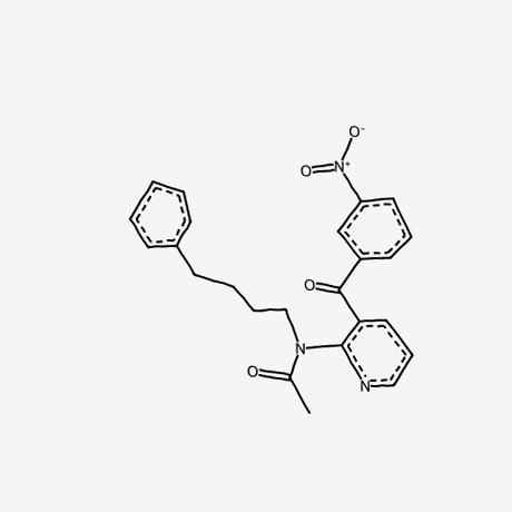 CC(=O)N(CCCCc1ccccc1)c1ncccc1C(=O)c1cccc([N+](=O)[O-])c1